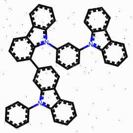 c1ccc(-n2c3ccccc3c3ccc(-c4cccc5c6ccccc6n(-c6cccc(-n7c8ccccc8c8ccccc87)c6)c45)cc32)cc1